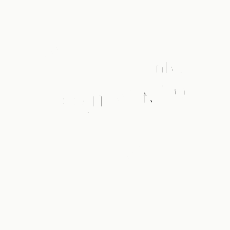 CCCCC(=O)N(CCc1ccccc1)c1ccc(-c2ccccc2C(=O)O)cc1